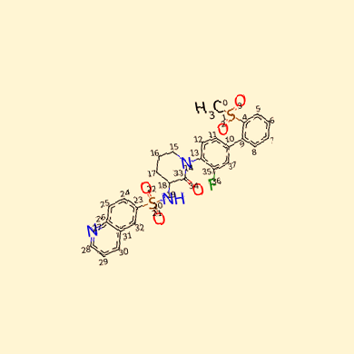 CS(=O)(=O)c1ccccc1-c1ccc(N2CCCC(NS(=O)(=O)c3ccc4ncccc4c3)C2=O)c(F)c1